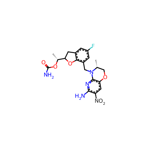 C[C@@H]1COc2cc([N+](=O)[O-])c(N)nc2N1Cc1cc(F)cc2c1OC([C@@H](C)OC(N)=O)C2